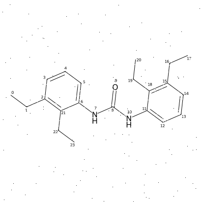 CCc1cccc(NC(=O)Nc2cccc(CC)c2CC)c1CC